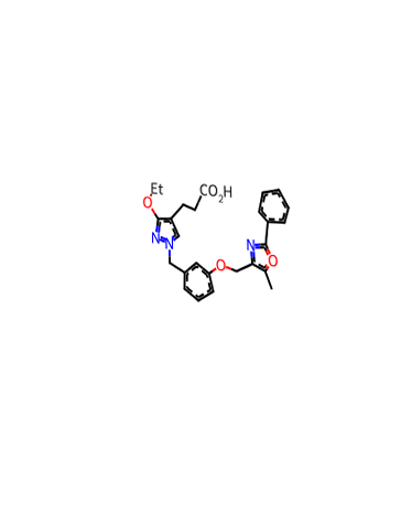 CCOc1nn(Cc2cccc(OCc3nc(-c4ccccc4)oc3C)c2)cc1CCC(=O)O